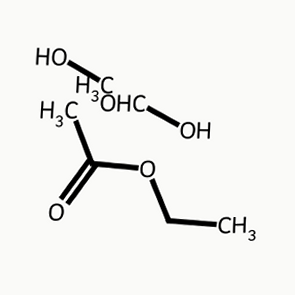 CCOC(C)=O.CO.O=CO